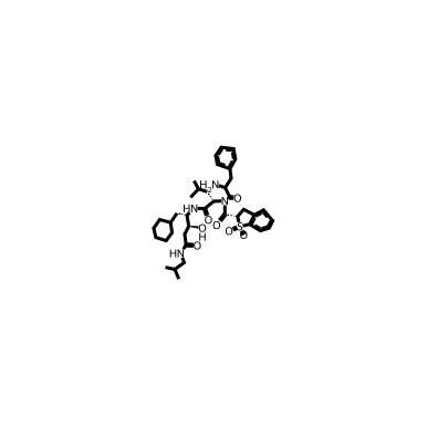 CC(C)CNC(=O)C[C@H](O)[C@H](CC1CCCCC1)NC(=O)[C@H](CC(C)C)N(C(=O)C(N)Cc1ccccc1)C(=O)[C@@H]1Cc2ccccc2S1(=O)=O